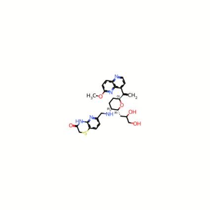 C=C(c1ccnc2ccc(OC)nc12)[C@@H]1CC[C@@H](NCc2ccc3c(n2)NC(=O)CS3)[C@@H](CC(O)CO)O1